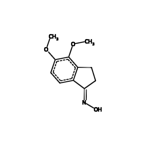 COc1ccc2c(c1OC)CCC2=NO